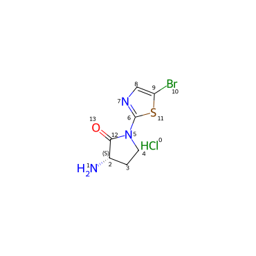 Cl.N[C@H]1CCN(c2ncc(Br)s2)C1=O